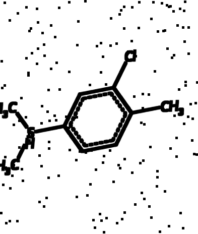 Cc1ccc([SH](C)C)cc1Cl